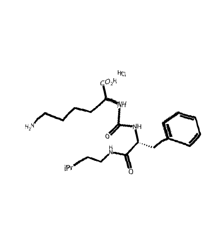 CC(C)CCNC(=O)[C@@H](Cc1ccccc1)NC(=O)NC(CCCCN)C(=O)O.Cl